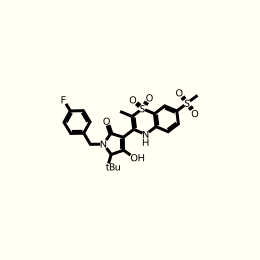 CC1=C(C2=C(O)C(C(C)(C)C)N(Cc3ccc(F)cc3)C2=O)Nc2ccc(S(C)(=O)=O)cc2S1(=O)=O